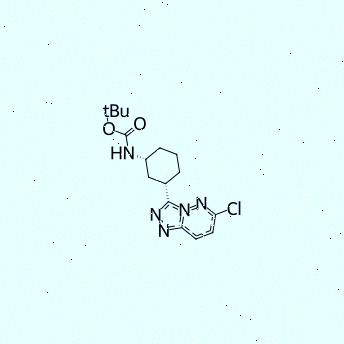 CC(C)(C)OC(=O)N[C@@H]1CCC[C@H](c2nnc3ccc(Cl)nn23)C1